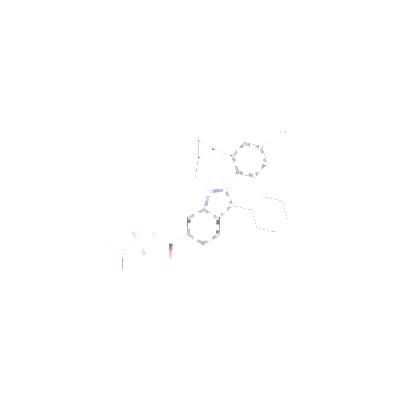 CCOC(=O)[C@]12C[C@H]1c1cc(OC)ccc1-c1c(C3CCCCC3)c3ccc(C(=O)NS(=O)(=O)N(C)C)cc3n1C2